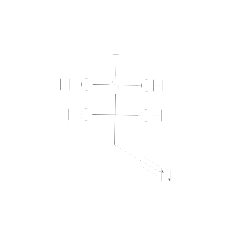 CC(C)(CC#N)S(C)(C)F